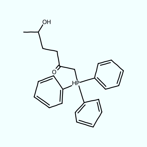 CC(O)CCC(=O)C[PH](c1ccccc1)(c1ccccc1)c1ccccc1